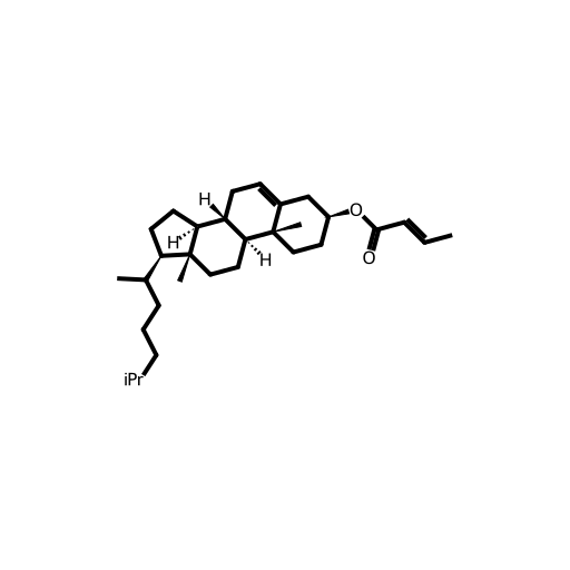 C/C=C/C(=O)O[C@H]1CC[C@@]2(C)C(=CC[C@H]3[C@@H]4CC[C@H](C(C)CCCC(C)C)[C@@]4(C)CC[C@@H]32)C1